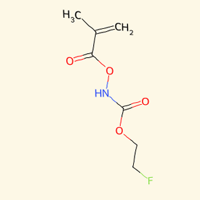 C=C(C)C(=O)ONC(=O)OCCF